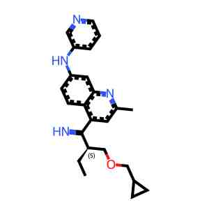 CC[C@H](COCC1CC1)C(=N)c1cc(C)nc2cc(Nc3cccnc3)ccc12